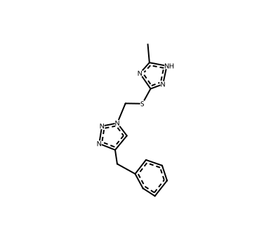 Cc1nc(SCn2cc(Cc3ccccc3)nn2)n[nH]1